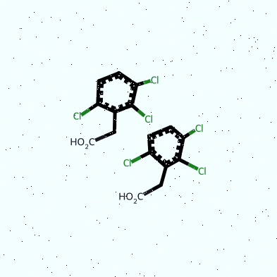 O=C(O)Cc1c(Cl)ccc(Cl)c1Cl.O=C(O)Cc1c(Cl)ccc(Cl)c1Cl